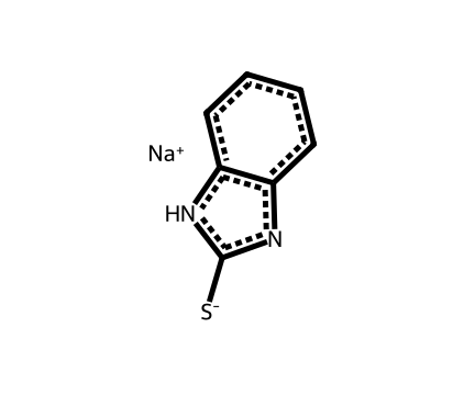 [Na+].[S-]c1nc2ccccc2[nH]1